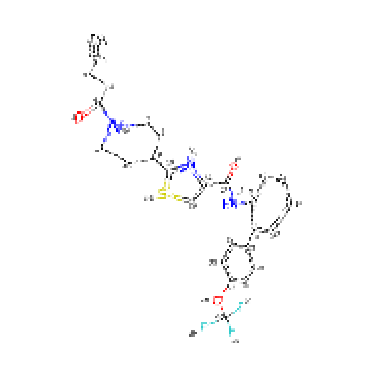 C#CCCC(=O)N1CCC(c2nc(C(=O)Nc3ccccc3-c3ccc(OC(F)(F)F)cc3)cs2)CC1